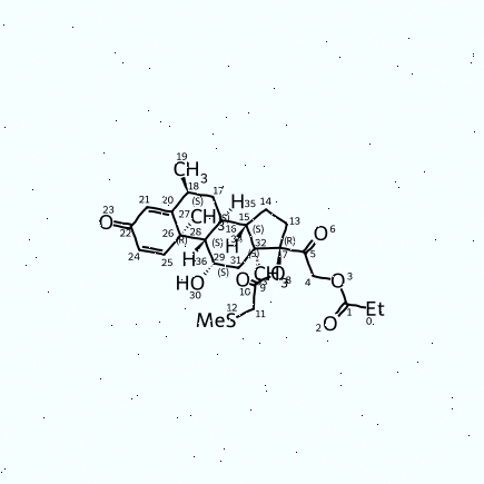 CCC(=O)OCC(=O)[C@@]1(OC(=O)CSC)CC[C@H]2[C@@H]3C[C@H](C)C4=CC(=O)C=C[C@]4(C)[C@H]3[C@@H](O)C[C@@]21C